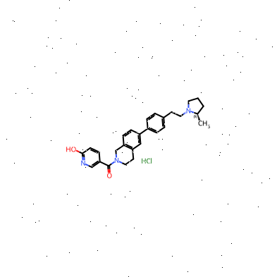 C[C@@H]1CCCN1CCc1ccc(-c2ccc3c(c2)CCN(C(=O)c2ccc(O)nc2)C3)cc1.Cl